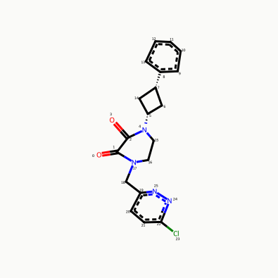 O=C1C(=O)N([C@H]2C[C@@H](c3ccccc3)C2)CCN1Cc1ccc(Cl)nn1